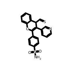 NS(=O)(=O)c1ccc(C2=C(c3cccnc3)C(C=S)c3ccccc3O2)cc1